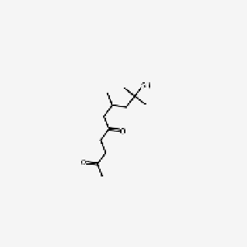 CC(=O)CCC(=O)CC(C)CC(C)(C)S